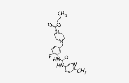 CCCOC(=O)N1CCN(Cc2ccc(F)c(NC(=O)Nc3ccc(C)nc3)c2)CC1